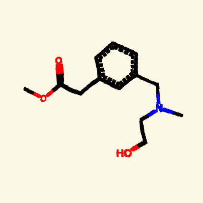 COC(=O)Cc1cccc(CN(C)CCO)c1